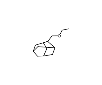 CCOC[C]1C2CC3CC(C2)CC1C3